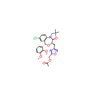 COc1cccc([C@H]2O[C@H](Cc3noc(COC(C)=O)n3)C(=O)N(CC(C)(C)C)c3ccc(Cl)cc32)c1OC